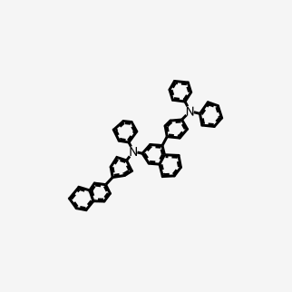 c1ccc(N(c2ccccc2)c2ccc(-c3cc(N(c4ccccc4)c4ccc(-c5ccc6ccccc6c5)cc4)cc4ccccc34)cc2)cc1